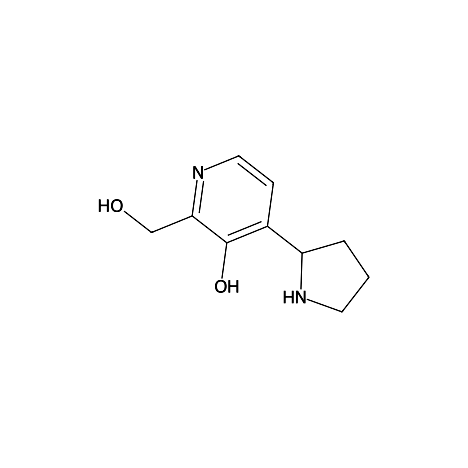 OCc1nccc(C2CCCN2)c1O